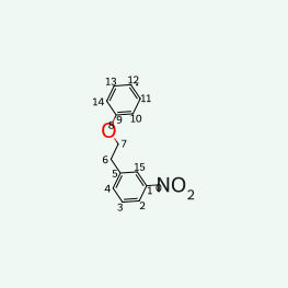 O=[N+]([O-])c1cccc(CCOc2cc[c]cc2)c1